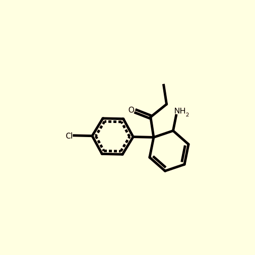 CCC(=O)C1(c2ccc(Cl)cc2)C=CC=CC1N